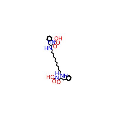 O=C(O)NC(=O)C(Cc1ccccc1)NCCCCCCCCCCCCNC(Cc1ccccc1)C(=O)NC(=O)O